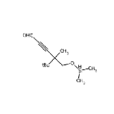 C[SiH](C)OCC(C)(C#CC=O)C(C)(C)C